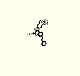 CCCCc1nc2c(N)nc3cc(C=Cc4cccnc4)ccc3c2n1CCNS(C)(=O)=O